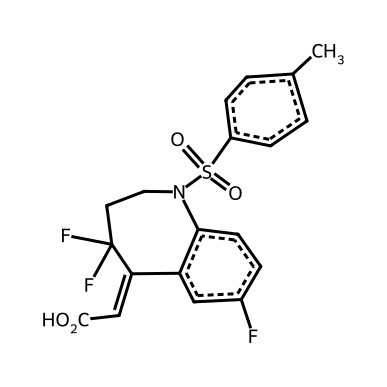 Cc1ccc(S(=O)(=O)N2CCC(F)(F)C(=CC(=O)O)c3cc(F)ccc32)cc1